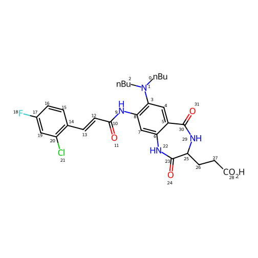 CCCCN(CCCC)c1cc2c(cc1NC(=O)C=Cc1ccc(F)cc1Cl)NC(=O)C(CCC(=O)O)NC2=O